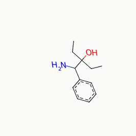 CCC(O)(CC)C(N)c1ccccc1